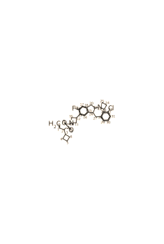 C=CC(C1CCC1)S(=O)(=O)N1CC(c2cc3c(cc2F)CC(N2CCC2)C3Cc2cccc(Cl)c2)C1